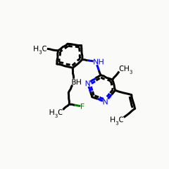 C/C=C\c1ncnc(Nc2ccc(C)cc2BCC(C)F)c1C